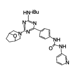 CCC(C)Nc1nc(-c2ccc(NC(=O)Nc3cccnc3)cc2)nc(N2CC3CCC(C2)O3)n1